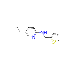 CCCc1ccc(NCc2cccs2)nc1